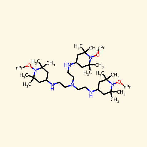 CCCON1C(C)(C)CC(NCCN(CCNC2CC(C)(C)N(OCCC)C(C)(C)C2)CCNC2CC(C)(C)N(OCCC)C(C)(C)C2)CC1(C)C